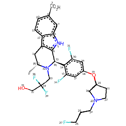 C[C@@H]1Cc2c([nH]c3cc(C(=O)O)ccc23)[C@@H](c2c(F)cc(OC3CCN(CCCF)C3)cc2F)N1CC(F)(F)CO